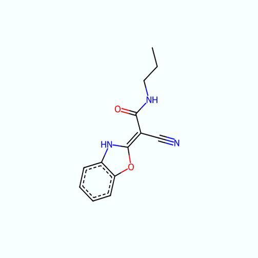 CCCNC(=O)C(C#N)=C1Nc2ccccc2O1